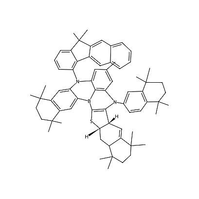 Cc1cc2c3c(c1)N(c1cccc4c1-c1cc5ccccc5cc1C4(C)C)c1cc4c(cc1B3C1=C([C@@H]3C=C5C(C[C@@H]3S1)C(C)(C)CCC5(C)C)N2c1ccc2c(c1)C(C)(C)CCC2(C)C)C(C)(C)CCC4(C)C